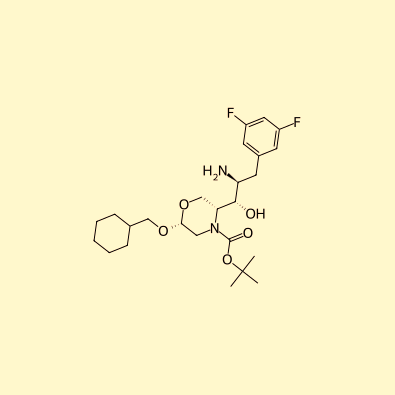 CC(C)(C)OC(=O)N1C[C@H](OCC2CCCCC2)OC[C@@H]1[C@@H](O)[C@@H](N)Cc1cc(F)cc(F)c1